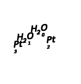 O.O.[Pt].[Pt]